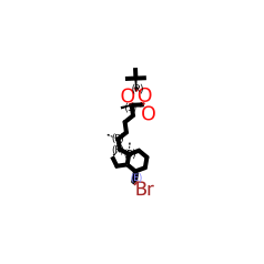 C[C@H](CCC[C@]1(C)O[C@@H](C(C)(C)C)OC1=O)[C@H]1CCC2/C(=C/Br)CCC[C@@]21C